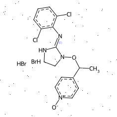 Br.Br.CC(ON1CCN/C1=N\c1c(Cl)cccc1Cl)c1cc[n+]([O-])cc1